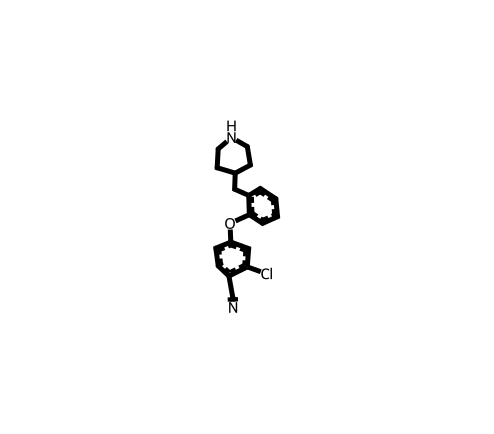 N#Cc1ccc(Oc2ccccc2CC2CCNCC2)cc1Cl